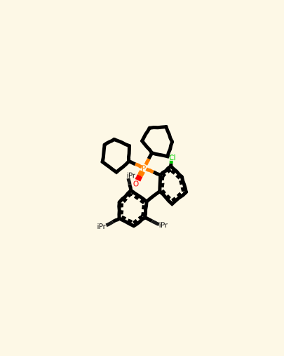 CC(C)c1cc(C(C)C)c(-c2cccc(Cl)c2P(=O)(C2CCCCC2)C2CCCCC2)c(C(C)C)c1